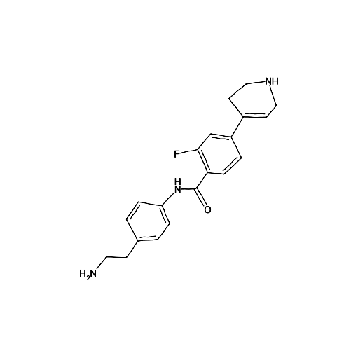 NCCc1ccc(NC(=O)c2ccc(C3=CCNCC3)cc2F)cc1